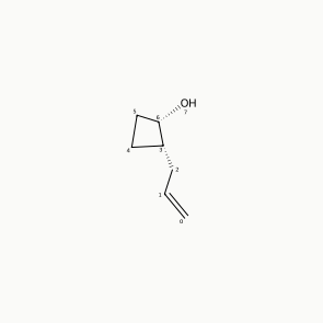 C=CC[C@@H]1CC[C@@H]1O